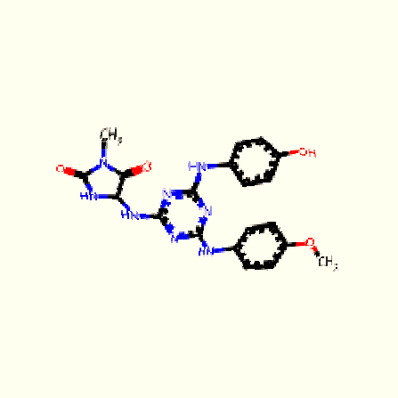 COc1ccc(Nc2nc(Nc3ccc(O)cc3)nc(NC3NC(=O)N(C)C3=O)n2)cc1